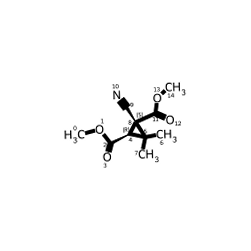 COC(=O)[C@@H]1C(C)(C)[C@@]1(C#N)C(=O)OC